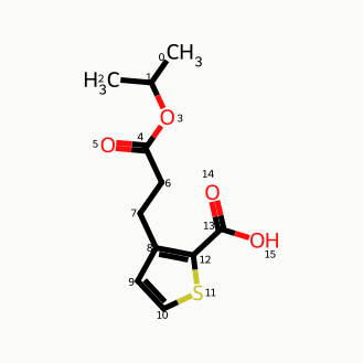 CC(C)OC(=O)CCc1ccsc1C(=O)O